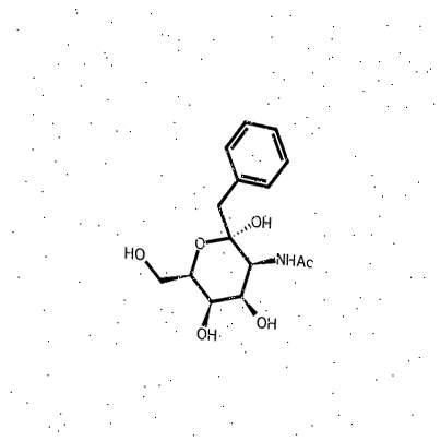 CC(=O)N[C@H]1[C@@H](O)[C@@H](O)[C@@H](CO)O[C@@]1(O)Cc1ccccc1